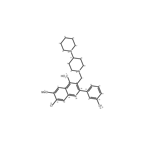 COc1cc2c(C(=O)O)c(CN3CCC(N4CCCCC4)CC3)c(-c3cccc(C(F)(F)F)c3)nc2cc1Cl